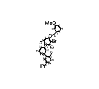 COc1cccc(COc2cc(C)n(-c3ccnc(-c4nc(C(C)C)ncc4C)c3)c(=O)c2Br)c1